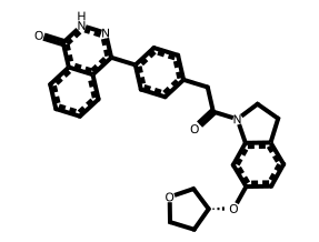 O=C(Cc1ccc(-c2n[nH]c(=O)c3ccccc23)cc1)N1CCc2ccc(O[C@@H]3CCOC3)cc21